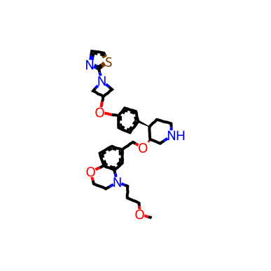 COCCCN1CCOc2ccc(CO[C@H]3CNCC[C@@H]3c3ccc(OC4CN(c5nccs5)C4)cc3)cc21